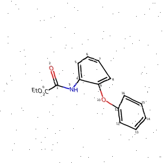 CCOC(=O)C(=O)Nc1ccccc1Oc1ccccc1